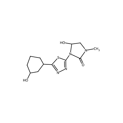 CN1CC(O)N(c2nnc(C3CCCC(O)C3)s2)C1=O